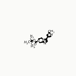 Cn1cc(-c2cnc3n2CCN(C(=O)OC(C)(C)C)C3)cn1